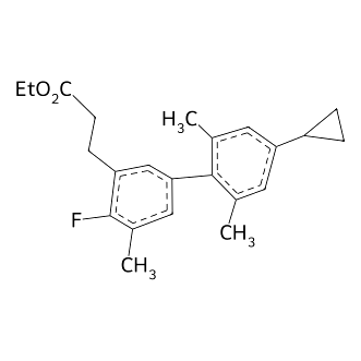 CCOC(=O)CCc1cc(-c2c(C)cc(C3CC3)cc2C)cc(C)c1F